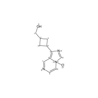 OCC1CC(C2=C3C=NC=C[N+]3(Cl)C=N2)C1